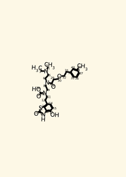 CCN(CC)CCN(CCN(CCc1ccc(O)c2[nH]c(=O)sc12)C(=O)O)C(=O)CCOCCc1cccc(C)c1